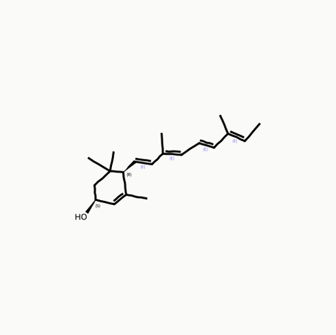 C/C=C(C)/C=C/C=C(C)/C=C/[C@H]1C(C)=C[C@@H](O)CC1(C)C